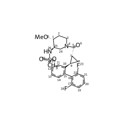 CO[C@@H]1CCN(C(=O)[C@@H]2C[C@H]2c2ccccc2-c2c(F)cccc2F)C[C@H]1NS(C)(=O)=O